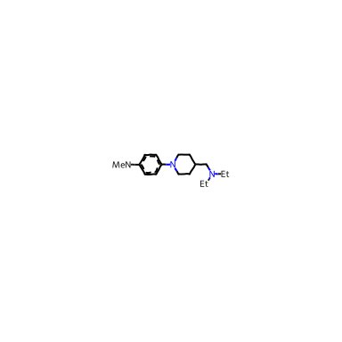 CCN(CC)CC1CCN(c2ccc(NC)cc2)CC1